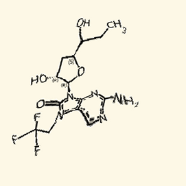 CCC(O)[C@@H]1C[C@@H](O)[C@H](n2c(=O)n(CC(F)(F)F)c3cnc(N)nc32)O1